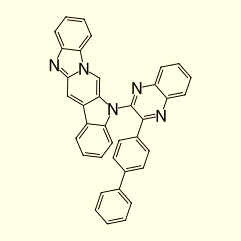 c1ccc(-c2ccc(-c3nc4ccccc4nc3-n3c4ccccc4c4cc5nc6ccccc6n5cc43)cc2)cc1